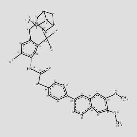 CCN1C2CC1CN(Cc1cc(F)c(NC(=O)Cc3ccc(-c4cnc5cc(OC)c(OC)cc5c4)nc3)cc1C(F)(F)F)C2